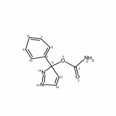 NC(=O)OC1(c2ccccc2)C=CN=N1